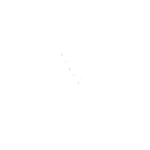 CC/C=C/C/C=C/C/C=C/C/C=C/C/C(=C/CCCCC[C]=O)[N+](=O)[O-]